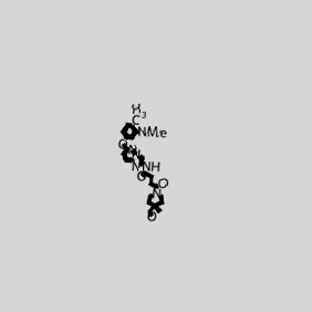 CNc1cc(Oc2ccc3nc(NC(=O)CCC(=O)N4CCC5(CC4)COC5)cn3n2)ccc1C